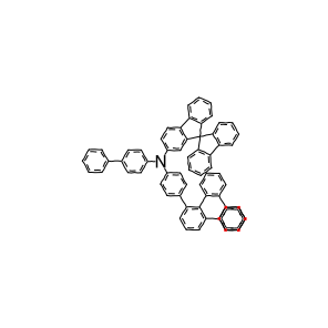 c1ccc(-c2ccc(N(c3ccc(-c4cccc(-c5ccccc5)c4-c4ccccc4-c4ccccc4)cc3)c3ccc4c(c3)C3(c5ccccc5-c5ccccc53)c3ccccc3-4)cc2)cc1